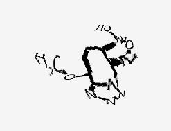 COc1cc2c(no[n+]2O)n2nnnc12